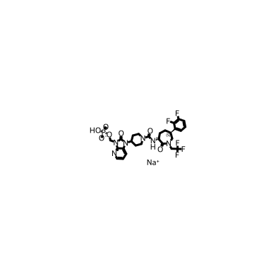 O=C(N[C@@H]1CC[C@@H](c2cccc(F)c2F)CN(CC(F)(F)F)C1=O)N1CCC(n2c(=O)n(COP(=O)([O-])O)c3ncccc32)CC1.[Na+]